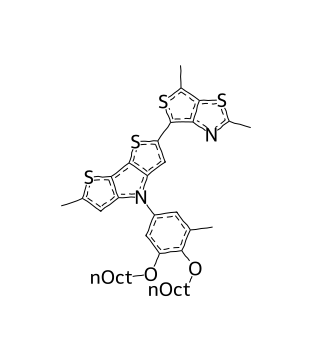 CCCCCCCCOc1cc(-n2c3cc(C)sc3c3sc(-c4sc(C)c5sc(C)nc45)cc32)cc(C)c1OCCCCCCCC